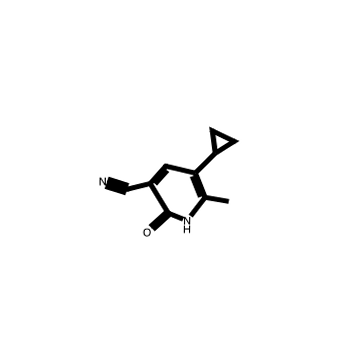 Cc1[nH]c(=O)c(C#N)cc1C1CC1